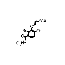 CCc1ccc(C(=O)O[N+](=O)[O-])c(Br)c1OCCOC